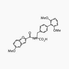 COc1ccc2oc(C(=O)NC(Cc3ccc(-c4c(OC)cccc4OC)cc3)C(=O)O)cc2c1